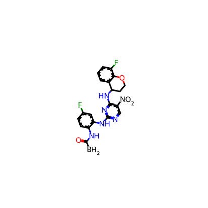 BC(=O)Nc1ccc(F)cc1Nc1ncc([N+](=O)[O-])c(NC2CCOc3c(F)cccc32)n1